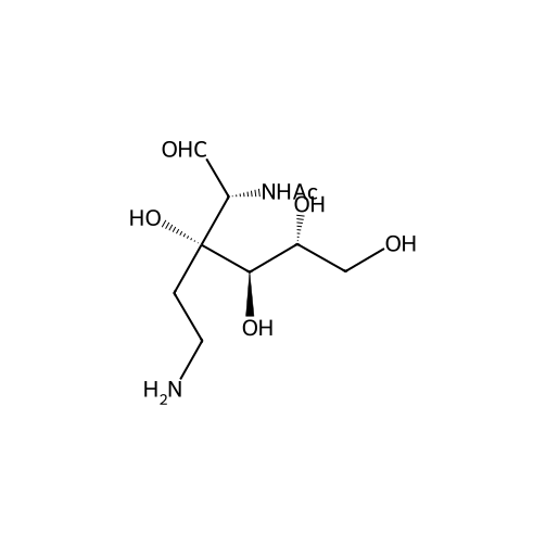 CC(=O)N[C@@H](C=O)[C@](O)(CCN)[C@H](O)[C@H](O)CO